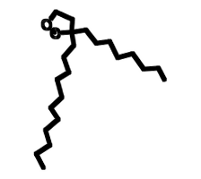 CCCCCCCCCCCC1(CCCCCCCC)CCOO1